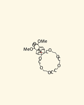 COC(=O)C1=CC2=CC(=C1)C21OCCOCCOCCCOCCOCCOCC12c1cc(C(=O)OC)cc2c1